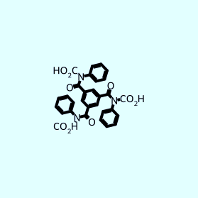 O=C(O)N(C(=O)c1cc(C(=O)N(C(=O)O)c2ccccc2)cc(C(=O)N(C(=O)O)c2ccccc2)c1)c1ccccc1